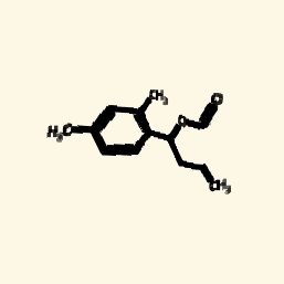 CCCC(O[C]=O)c1ccc(C)cc1C